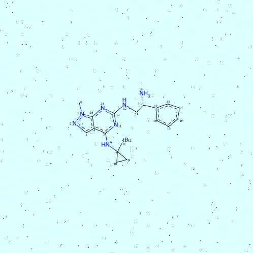 Cn1ncc2c(NC3(C(C)(C)C)CC3)nc(NC[C@H](N)c3ccccc3)nc21